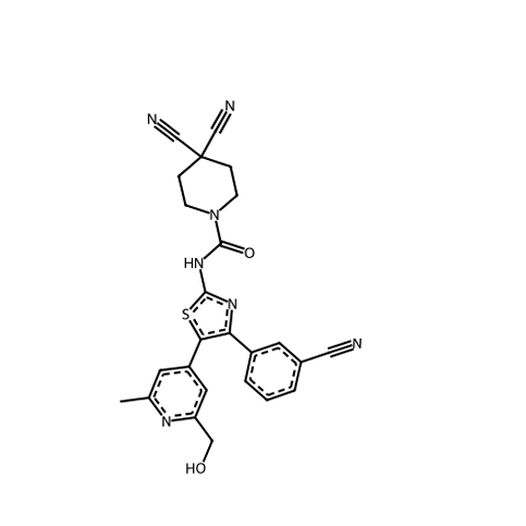 Cc1cc(-c2sc(NC(=O)N3CCC(C#N)(C#N)CC3)nc2-c2cccc(C#N)c2)cc(CO)n1